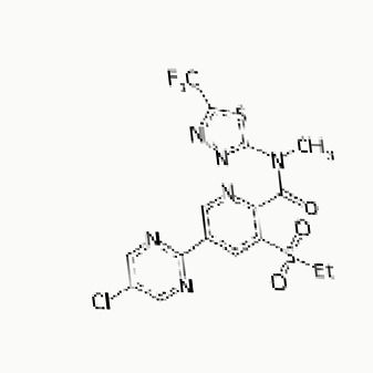 CCS(=O)(=O)c1cc(-c2ncc(Cl)cn2)cnc1C(=O)N(C)c1nnc(C(F)(F)F)s1